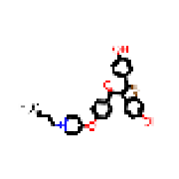 C=CCCN1CCC(Oc2ccc(C(=O)c3c(-c4ccc(O)cc4)sc4cc(O)ccc34)cc2)CC1